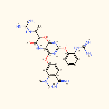 CCC(NC(=N)N)C1Oc2nc(Oc3ccccc3NC(=N)N)nc(Oc3ccc(C(=N)N)c(N(C)C)c3)c2NC1=O